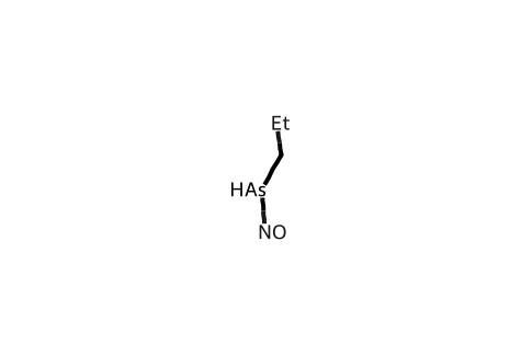 CCC[AsH]N=O